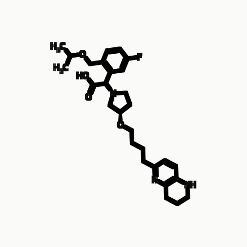 CC(C)OCc1ccc(F)cc1C(C(=O)O)N1CC[C@@H](OCCCCc2ccc3c(n2)CCCN3)C1